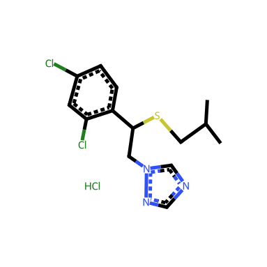 CC(C)CSC(Cn1cncn1)c1ccc(Cl)cc1Cl.Cl